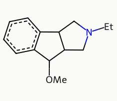 CCN1CC2c3ccccc3C(OC)C2C1